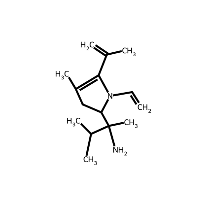 C=CN1C(C(=C)C)=C(C)CC1C(C)(N)C(C)C